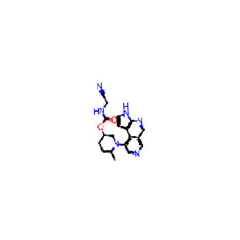 CC1CCC(OC(=O)NCC#N)CN1c1cncc2cnc3[nH]ccc3c12